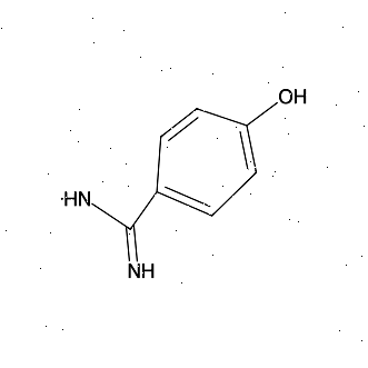 [NH]C(=N)c1ccc(O)cc1